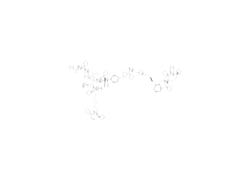 CC(C)[C@H](NC(=O)CCCCCN1C(=O)C=CC1=O)C(=O)N[C@@H](CCCNC(N)=O)C(=O)Nc1ccc(COC(=O)N(C)CCOCCC#Cc2cccc3c2CN(C2CCC(=O)NC2=O)C3=O)cc1